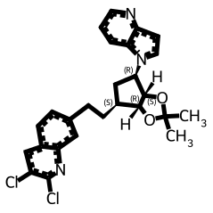 CC1(C)O[C@@H]2[C@@H](CCc3ccc4cc(Cl)c(Cl)nc4c3)C[C@@H](n3ccc4ncccc43)[C@@H]2O1